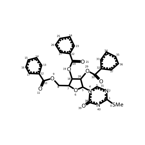 CSc1ncn(C2OC(COC(=O)c3ccccc3)C(OC(=O)c3ccccc3)C2OC(=O)c2ccccc2)c(=O)n1